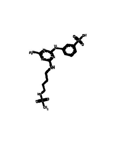 CS(=O)(=O)NCCCCNc1nc(N)nc(Nc2cccc(S(=O)(=O)O)c2)n1